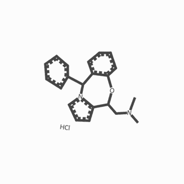 CN(C)CC1Oc2ccccc2C(c2ccccc2)n2cccc21.Cl